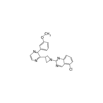 COc1cccc(-c2nccnc2C2CN(c3ncc4c(Cl)cccc4n3)C2)c1